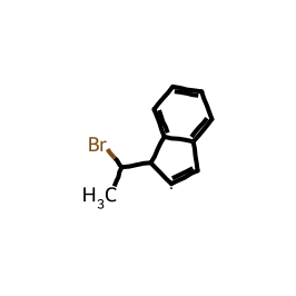 CC(Br)C1[C]=Cc2ccccc21